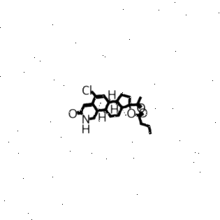 CCCC(=O)O[C@]1(C(C)=O)CC[C@H]2[C@@H]3C=C(Cl)C4=CC(=O)NC[C@]4(C)[C@H]3CC[C@@]21C